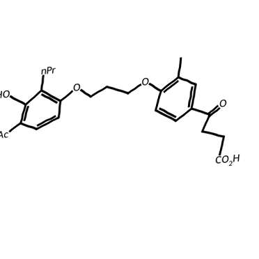 CCCc1c(OCCCOc2ccc(C(=O)CCC(=O)O)cc2C)ccc(C(C)=O)c1O